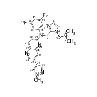 CN(C)Sn1ccnc1CN(c1cc(F)cc(F)c1)c1ccc2ncc(-c3cnn(C)c3)cc2n1